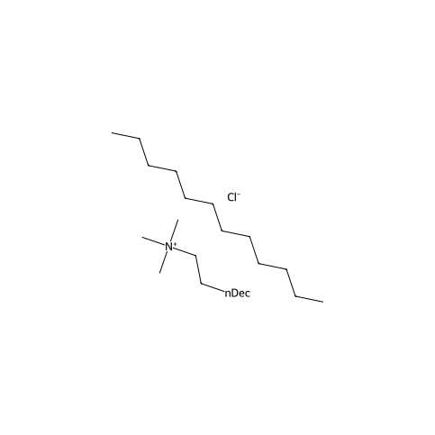 CCCCCCCCCCCC.CCCCCCCCCCCC[N+](C)(C)C.[Cl-]